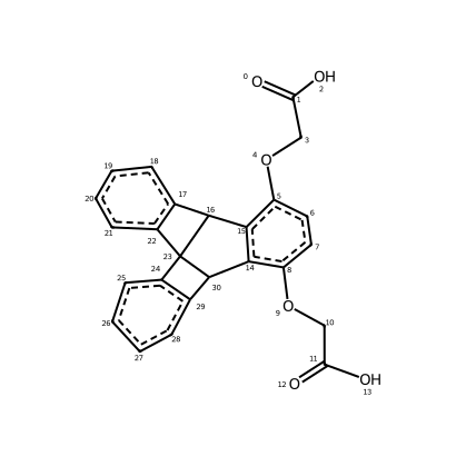 O=C(O)COc1ccc(OCC(=O)O)c2c1C1c3ccccc3C13c1ccccc1C23